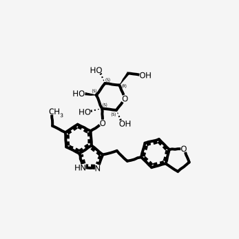 CCc1cc(O[C@]2(O)[C@@H](O)O[C@H](CO)[C@@H](O)[C@@H]2O)c2c(CCc3ccc4c(c3)CCO4)n[nH]c2c1